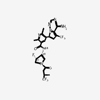 Cc1nc(C)c(-c2cc(C(F)(F)F)c3c(N)ncnn23)cc1C(=O)N[C@@H]1CN(C(=O)CC(C)C(F)(F)F)C[C@@H]1F